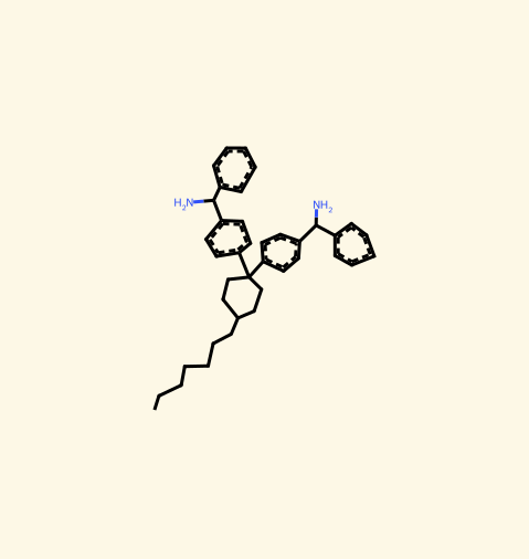 CCCCCCCC1CCC(c2ccc(C(N)c3ccccc3)cc2)(c2ccc(C(N)c3ccccc3)cc2)CC1